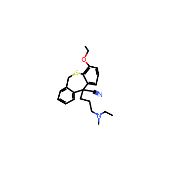 CCOc1cccc2c1SCc1ccccc1C2(C#N)CCCN(C)CC